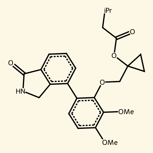 COc1ccc(-c2cccc3c2CNC3=O)c(OCC2(OC(=O)CC(C)C)CC2)c1OC